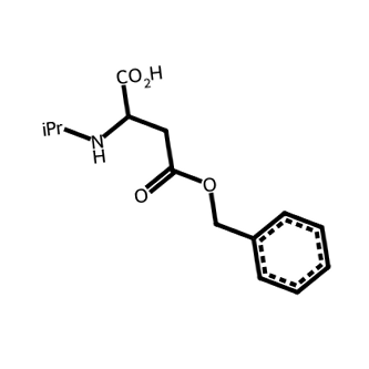 CC(C)NC(CC(=O)OCc1ccccc1)C(=O)O